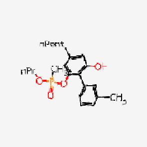 CCCCCc1cc(O)c(-c2cccc(C)c2)c(OP(C)(=O)OCCC)c1